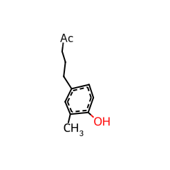 CC(=O)CCCc1ccc(O)c(C)c1